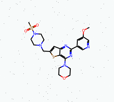 COc1cncc(-c2nc(N3CCOCC3)c3sc(CN4CCN(S(C)(=O)=O)CC4)cc3n2)c1